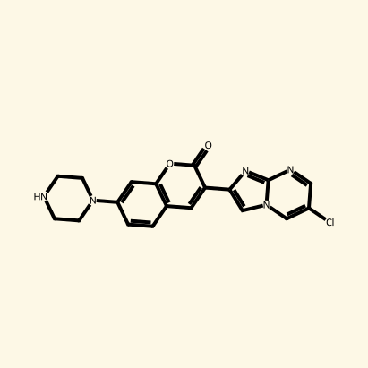 O=c1oc2cc(N3CCNCC3)ccc2cc1-c1cn2cc(Cl)cnc2n1